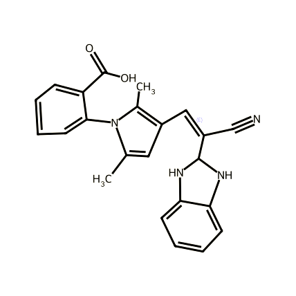 Cc1cc(/C=C(/C#N)C2Nc3ccccc3N2)c(C)n1-c1ccccc1C(=O)O